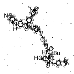 Cc1ncsc1-c1ccc(CNC(=O)[C@@H]2C[C@@H](O)CN2C(=O)[C@@H](NC(=O)COCCOCCCn2cc(CNC(=O)N(c3ccc(-c4ccc(=O)n(C)c4)cc3)[C@H]3CC[C@H](Nc4ccc(C#N)cn4)CC3)cn2)C(C)(C)C)cc1